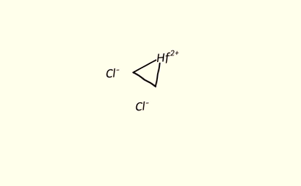 [CH2]1[CH2][Hf+2]1.[Cl-].[Cl-]